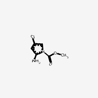 COC(=O)n1cc(Cl)cc1N